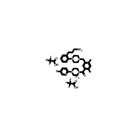 Cc1cc(C)c(C(=O)N2CCN(c3ccc(F)cn3)C[C@H]2C)cc1CN1CCN(c2ccccc2CCCN)CC1.O=C(O)C(F)(F)F.O=C(O)C(F)(F)F